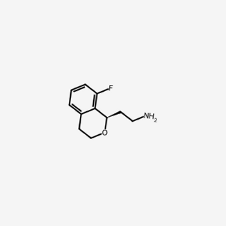 NCC[C@H]1OCCc2cccc(F)c21